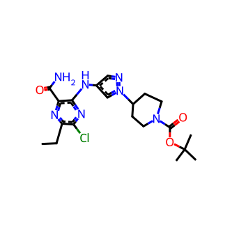 CCc1nc(C(N)=O)c(Nc2cnn(C3CCN(C(=O)OC(C)(C)C)CC3)c2)nc1Cl